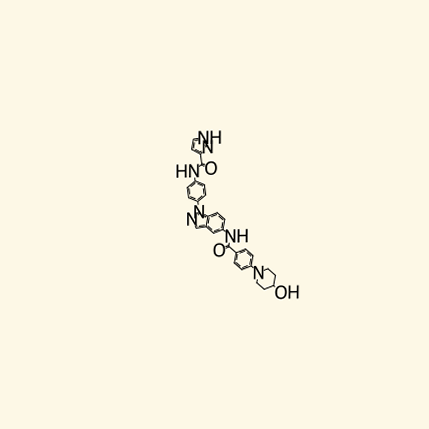 O=C(Nc1ccc2c(cnn2-c2ccc(NC(=O)c3cc[nH]n3)cc2)c1)c1ccc(N2CCC(O)CC2)cc1